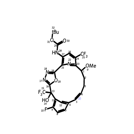 COC1CC/C=C\c2ccc(F)c(c2)C(O)(C(F)(F)F)c2nnc(o2)-c2nc1c(C(F)(F)F)cc2NC(=O)OC(C)(C)C